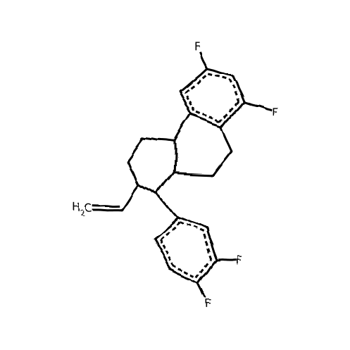 C=CC1CCC2c3cc(F)cc(F)c3CCC2C1c1ccc(F)c(F)c1